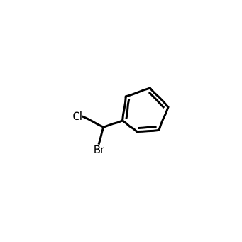 ClC(Br)c1ccccc1